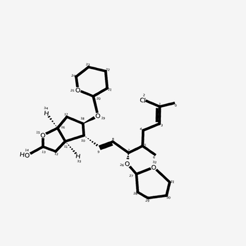 C/C(Cl)=C/CC(C)[C@@H](/C=C/[C@@H]1[C@H]2CC(O)O[C@H]2C[C@H]1OC1CCCCO1)OC1CCCCO1